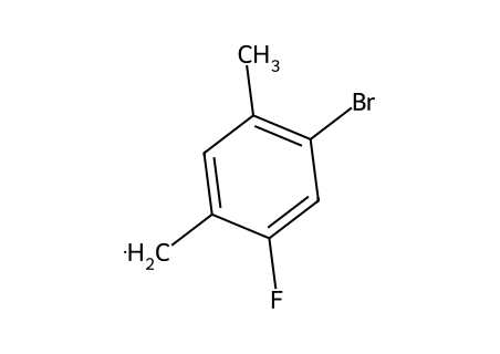 [CH2]c1cc(C)c(Br)cc1F